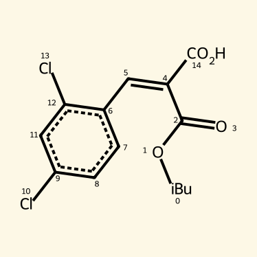 CCC(C)OC(=O)C(=Cc1ccc(Cl)cc1Cl)C(=O)O